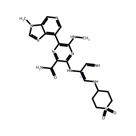 CNc1nc(N/C(C=N)=C/NC2CCS(=O)(=O)CC2)c(C(N)=O)nc1-c1cncc2c1ncn2C